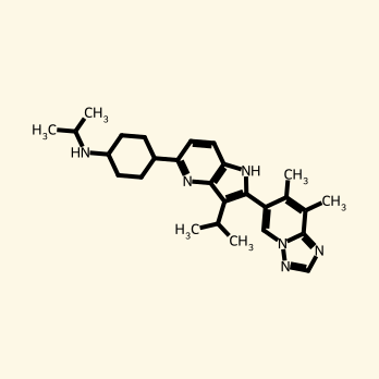 Cc1c(-c2[nH]c3ccc(C4CCC(NC(C)C)CC4)nc3c2C(C)C)cn2ncnc2c1C